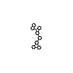 c1cc(-c2ccc3c4ccccc4c4ccccc4c3c2)cc(-c2ccc3c(c2)c2ccccc2n3-c2cccc3ccccc23)c1